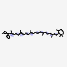 COC(=O)/C(C)=C/C=C/C(C)=C/C=C/C(C)=C/C=C/C=C(C)/C=C/C=C(C)/C=C/C1=C(C)CCCC1(C)C